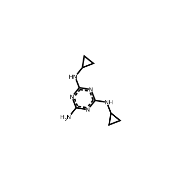 Nc1nc(NC2CC2)nc(NC2CC2)n1